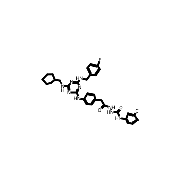 O=C(Cc1ccc(Nc2nc(NCc3ccc(F)cc3)nc(NCC3CCCCC3)n2)cc1)NNC(=O)Nc1cccc(Cl)c1